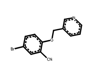 N#Cc1cc(Br)ccc1OCc1cccnc1